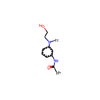 CCCC(=O)Nc1cccc(N(CC)CCO)c1